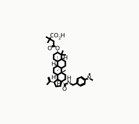 C=C(C)[C@@H]1CC[C@]2(C(=O)NCc3ccc(N(C)C)cc3)CC[C@]3(C)[C@H](CC[C@@H]4[C@@]5(C)CC[C@H](OC(=O)CC(C)(C)C(=O)O)C(C)(C)[C@@H]5CC[C@]43C)[C@@H]12